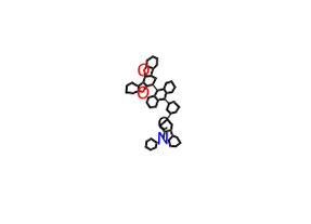 c1ccc(-n2c3ccccc3c3cc(-c4cccc(-c5c6ccccc6c(-c6cc7c8ccccc8oc7c7c6oc6ccccc67)c6ccccc56)c4)ccc32)cc1